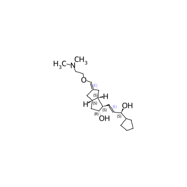 CN(C)CCO/C=C1\C[C@H]2C[C@@H](O)[C@H](/C=C/[C@@H](O)C3CCCC3)[C@H]2C1